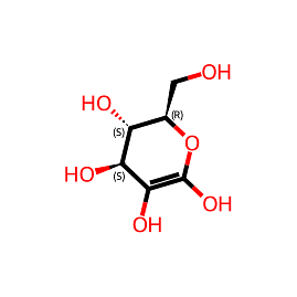 OC[C@H]1OC(O)=C(O)[C@@H](O)[C@@H]1O